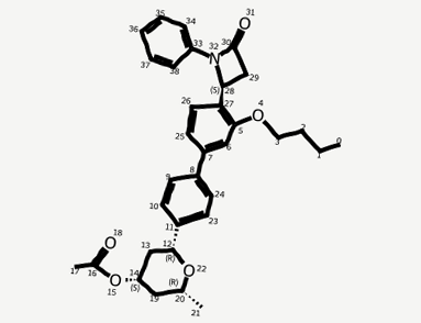 CCCCOc1cc(-c2ccc([C@H]3C[C@@H](OC(C)=O)C[C@@H](C)O3)cc2)ccc1[C@@H]1CC(=O)N1c1ccccc1